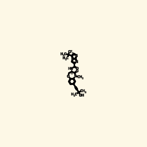 CN1C(=O)[C@@H](NC(=O)c2cn3c(C(C)(C)C(F)(F)F)csc3n2)COc2ccc(C#CC(C)(C)O)cc21